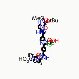 COC(=O)N[C@H](COC(C)(C)C)C(=O)N1CCC[C@H]1c1ncc(-c2ccc3nc(-c4ccc(-c5c[nH]c([C@@H]6CCCN6C(=O)[C@H](C(C)C)N(C)C(=O)O)n5)cc4)cnc3c2)[nH]1.O=C(O)C(F)(F)F